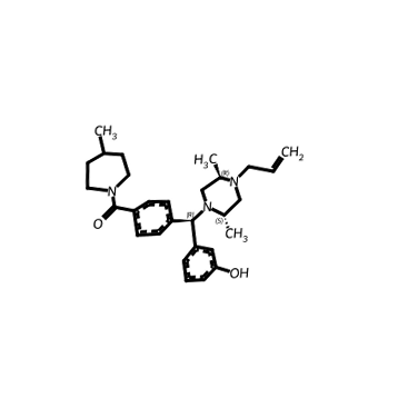 C=CCN1C[C@H](C)N([C@H](c2ccc(C(=O)N3CCC(C)CC3)cc2)c2cccc(O)c2)C[C@H]1C